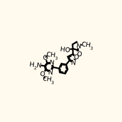 COc1nc(-c2cccc(-c3cc(C4(O)CCN(C)C4=O)on3)c2)nc(OC)c1N